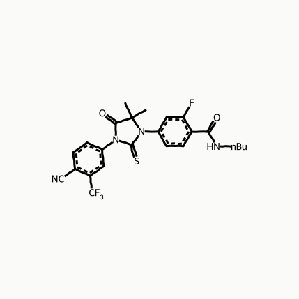 CCCCNC(=O)c1ccc(N2C(=S)N(c3ccc(C#N)c(C(F)(F)F)c3)C(=O)C2(C)C)cc1F